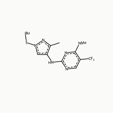 CCC(C)Sn1cc(Nc2ncc(C(F)(F)F)c(NC)n2)c(C)n1